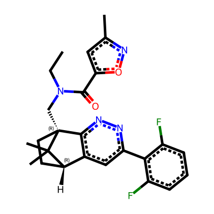 CCN(C[C@]12CC[C@@H](c3cc(-c4c(F)cccc4F)nnc31)C2(C)C)C(=O)c1cc(C)no1